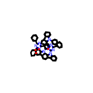 C1=CC(c2nc(-c3ccccc3)nc(-c3ccccc3-n3c4ccccc4c4ccc5c6ccccc6n(-c6nc(-c7ccccc7)nc(-c7cccc8c9ccccc9n(-c9ccccc9)c78)n6)c5c43)n2)=CCC1